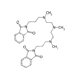 CN(CCCN1C(=O)c2ccccc2C1=O)CCN(C)CCN(C)CCCN1C(=O)c2ccccc2C1=O